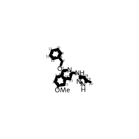 COc1ccc2c(OCc3ccccc3)nc(Nc3cc(C)[nH]n3)cc2c1